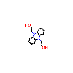 OCCN1c2ccccc2N(CCO)c2ccccc21